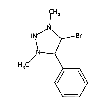 CN1NN(C)C(c2ccccc2)C1Br